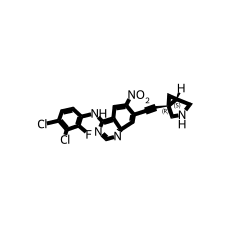 O=[N+]([O-])c1cc2c(Nc3ccc(Cl)c(Cl)c3F)ncnc2cc1C#C[C@]12CNC[C@H]1C2